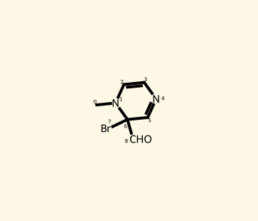 CN1C=CN=CC1(Br)C=O